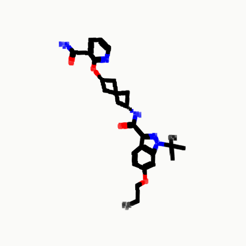 CC(C)(C#N)n1nc(C(=O)N[C@H]2CC3(C2)C[C@H](Oc2ncccc2C(N)=O)C3)c2ccc(OCCC(F)(F)F)cc21